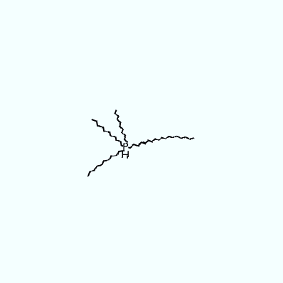 CCCCCCCCCCCCCCCCCC[PH](CCCCCCCCCCC)(CCCCCCCCCCC)CCCCCCCCCCC